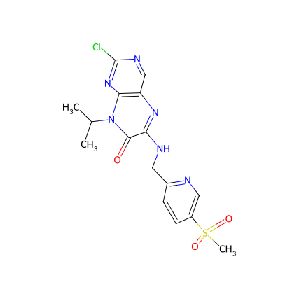 CC(C)n1c(=O)c(NCc2ccc(S(C)(=O)=O)cn2)nc2cnc(Cl)nc21